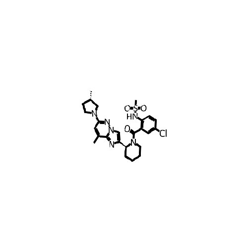 Cc1cc(N2CC[C@H](C)C2)nn2cc([C@@H]3CCCCN3C(=O)c3cc(Cl)ccc3NS(C)(=O)=O)nc12